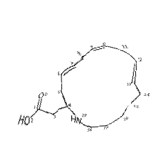 O=C(O)CC1C/C=C/C/C=C\C/C=C/CCCCCN1